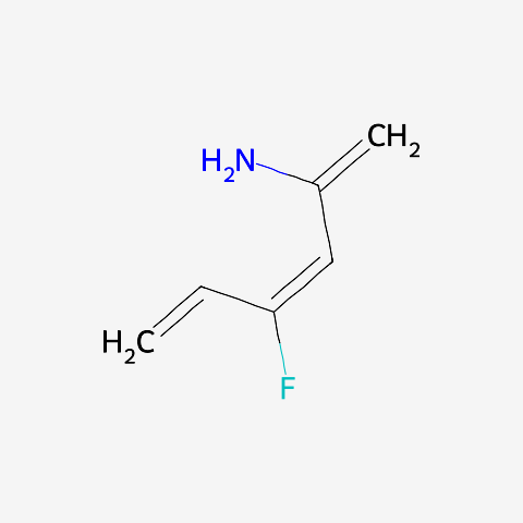 C=C/C(F)=C\C(=C)N